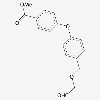 COC(=O)c1ccc(Oc2ccc(COCC=O)cc2)cc1